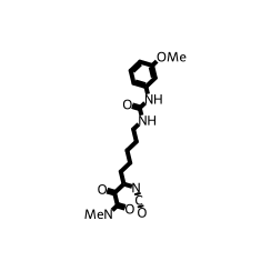 CNC(=O)C(=O)C(CCCCCNC(=O)Nc1cccc(OC)c1)N=C=O